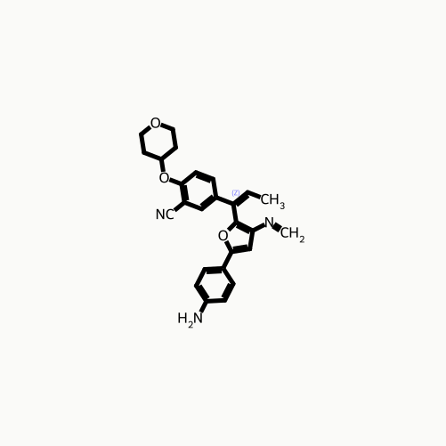 C=Nc1cc(-c2ccc(N)cc2)oc1/C(=C\C)c1ccc(OC2CCOCC2)c(C#N)c1